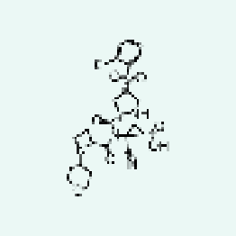 N#CC1(N(C(=O)C2CCN2C2CCOCC2)C(=O)[C@@H]2C[C@@H](S(=O)(=O)c3ccccc3Cl)CN2)CC1.O=CO